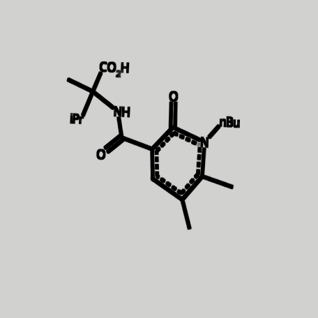 CCCCn1c(C)c(C)cc(C(=O)NC(C)(C(=O)O)C(C)C)c1=O